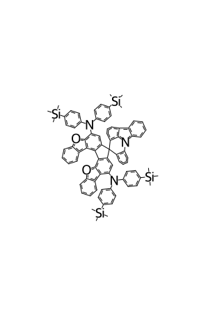 C[Si](C)(C)c1ccc(N(c2ccc([Si](C)(C)C)cc2)c2cc3c(c4c2oc2ccccc24)-c2c(cc(N(c4ccc([Si](C)(C)C)cc4)c4ccc([Si](C)(C)C)cc4)c4c2oc2ccccc24)C32c3ccccc3-n3c4ccccc4c4cccc2c43)cc1